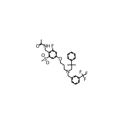 CC(=O)NCc1c(F)cc(OCCCN(Cc2cccc(C(F)(F)F)c2)CC(C)(C)c2ccccc2)cc1S(C)(=O)=O